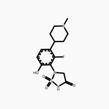 CN1CCC(c2ccc(O)c(N3CC(=O)NS3(=O)=O)c2F)CC1